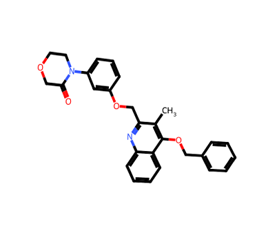 Cc1c(COc2cccc(N3CCOCC3=O)c2)nc2ccccc2c1OCc1ccccc1